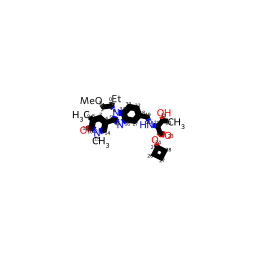 CCC(COC)n1c(-c2cc(C)c(=O)n(C)c2)nc2cc(CNC(C(=O)OC3CCC3)C(C)O)ccc21